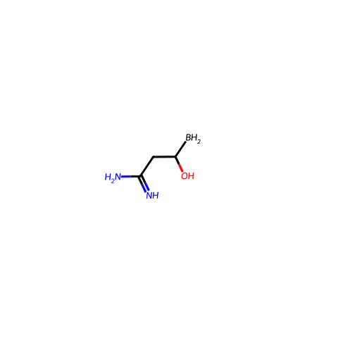 BC(O)CC(=N)N